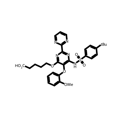 COc1ccccc1Oc1c(NS(=O)(=O)c2ccc(C(C)(C)C)cc2)nc(-c2ncccn2)nc1OCCCCC(=O)O